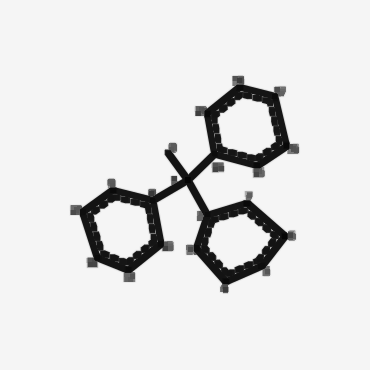 CC(c1[c]cccc1)(c1[c]cccc1)c1ccccc1